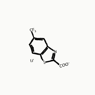 O=C([O-])c1nc2cc(C(F)(F)F)ccc2s1.[Li+]